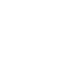 Cc1nc(Cl)sc1S(=O)(=O)N1CC2(CN(C3CCOCC3)C2)C1